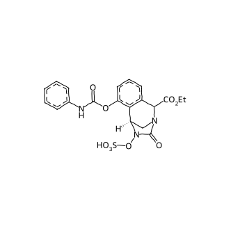 CCOC(=O)C1c2cccc(OC(=O)Nc3ccccc3)c2[C@H]2CN1C(=O)N2OS(=O)(=O)O